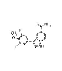 COc1c(F)cc(-c2n[nH]c3ccc(C(N)=O)cc23)cc1F